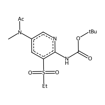 CCS(=O)(=O)c1cc(N(C)C(C)=O)cnc1NC(=O)OC(C)(C)C